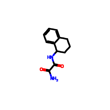 NC(=O)C(=O)NC1CCCc2ccccc21